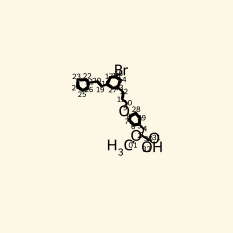 CCO[C@@H](Cc1ccc(OC/C=C/c2cc(Br)cc(/C=C/c3ccccc3)c2)cc1)C(=O)O